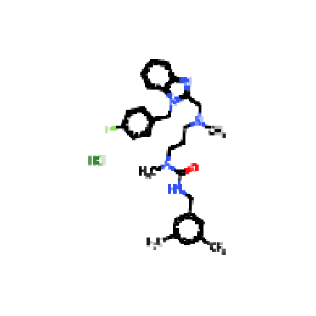 CN(CCCN(C)C(=O)NCc1cc(C(F)(F)F)cc(C(F)(F)F)c1)Cc1nc2ccccc2n1Cc1ccc(F)cc1.Cl